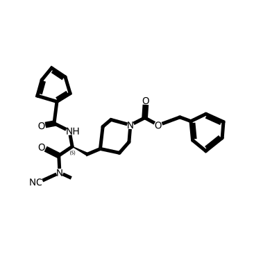 CN(C#N)C(=O)[C@H](CC1CCN(C(=O)OCc2ccccc2)CC1)NC(=O)c1ccccc1